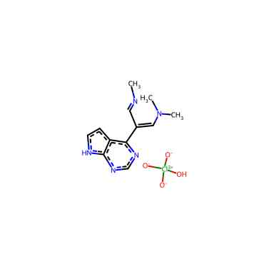 C/N=C/C(=C\N(C)C)c1ncnc2[nH]ccc12.[O-][Cl+3]([O-])([O-])O